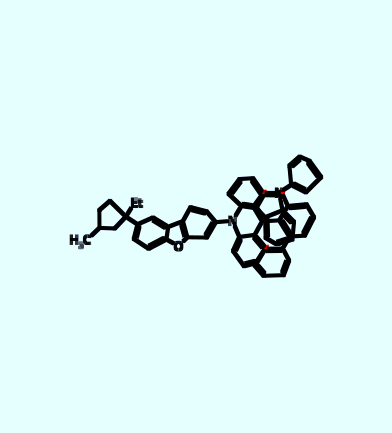 CCC1(c2ccc3oc4cc(N(c5ccccc5-c5cccc6cccc(-c7ccccc7)c56)c5cccc6c5c5ccccc5n6-c5ccccc5)ccc4c3c2)CCC(C)C1